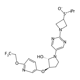 CC(C)[S+]([O-])C1CN(c2ncc(N3CC[C@@H](Oc4ccc(OCC(F)(F)F)nc4)[C@@H]3O)cn2)C1